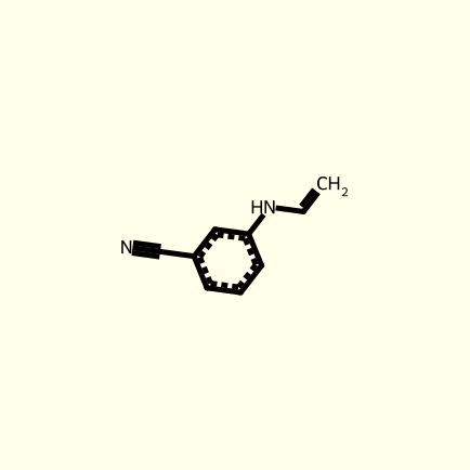 C=CNc1cccc(C#N)c1